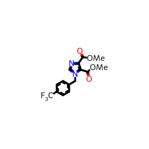 COC(=O)c1ncn(Cc2ccc(C(F)(F)F)cc2)c1C(=O)OC